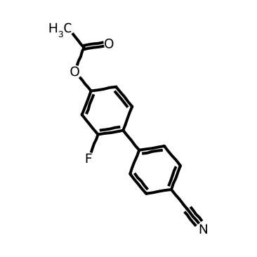 CC(=O)Oc1ccc(-c2ccc(C#N)cc2)c(F)c1